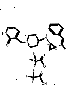 CC(=Cc1ccccc1)[C@@H]1C[C@H]1NC1CCN(Cc2ccc[nH]c2=O)CC1.O=C(O)C(F)(F)F.O=C(O)C(F)(F)F